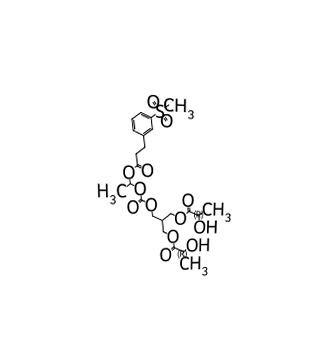 CC(OC(=O)CCc1cccc(S(C)(=O)=O)c1)OC(=O)OCC(COC(=O)[C@@H](C)O)COC(=O)[C@@H](C)O